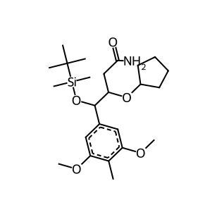 COc1cc(C(O[Si](C)(C)C(C)(C)C)C(CC(N)=O)OC2CCCC2)cc(OC)c1C